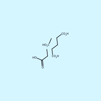 CC(=O)O.CCC(=O)O.O=C(O)CCCC(=O)O